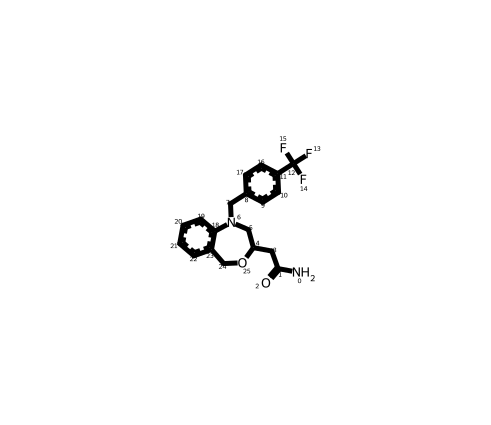 NC(=O)CC1CN(Cc2ccc(C(F)(F)F)cc2)c2ccccc2CO1